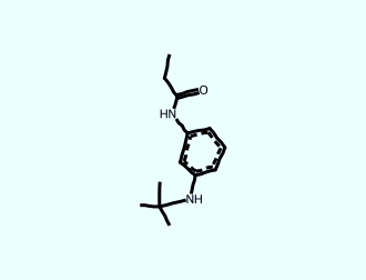 CCC(=O)Nc1cccc(NC(C)(C)C)c1